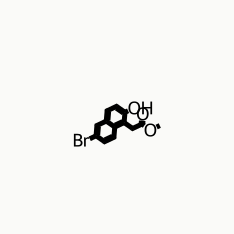 COC(=O)Cc1c(O)ccc2cc(Br)ccc12